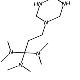 CN(C)C(CCN1CNCNC1)(N(C)C)N(C)C